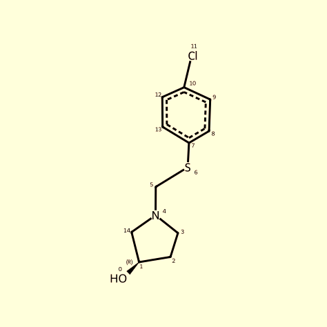 O[C@@H]1CCN(CSc2ccc(Cl)cc2)C1